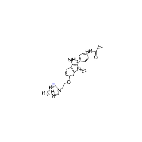 CCn1c(-c2ccc(NC(=O)C3CC3)cc2)c(N)c2ccc(OCCN(C=N)/C=N\C)cc21